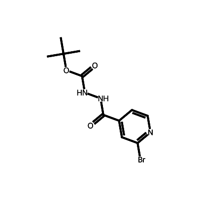 CC(C)(C)OC(=O)NNC(=O)c1ccnc(Br)c1